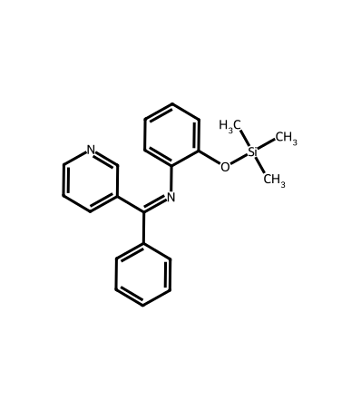 C[Si](C)(C)Oc1ccccc1N=C(c1ccccc1)c1cccnc1